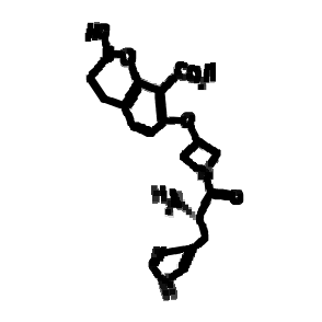 N[C@@H](Cc1c[nH]cn1)C(=O)N1CC(Oc2ccc3c(c2C(=O)O)OB(O)CC3)C1